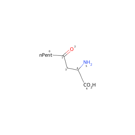 CCCCCC(=O)CC(N)C(=O)O